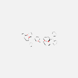 C=Cc1ccc(-c2ccccc2N(c2ccccc2)c2ccc(-c3ccc(N(c4ccccc4)c4ccccc4-c4ccc(C=C)cc4)cc3)cc2)cc1